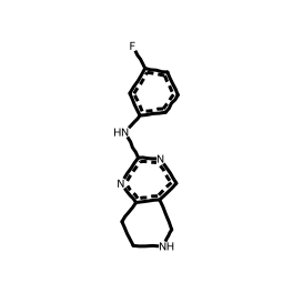 Fc1cccc(Nc2ncc3c(n2)CCNC3)c1